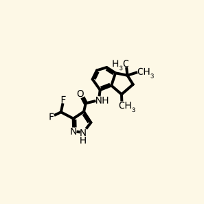 CC1CC(C)(C)c2cccc(NC(=O)c3c[nH]nc3C(F)F)c21